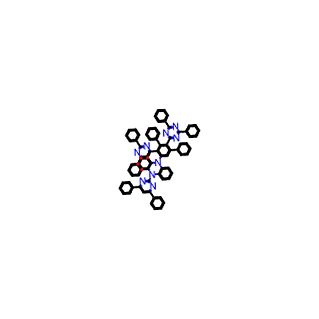 c1ccc(-c2cc(-c3c(N4c5ccccc5N(c5nc(-c6ccccc6)cc(-c6ccccc6)n5)c5ccccc54)cc(-c4ccccc4)c(-c4nc(-c5ccccc5)nc(-c5ccccc5)n4)c3-c3ccccc3)nc(-c3ccccc3)n2)cc1